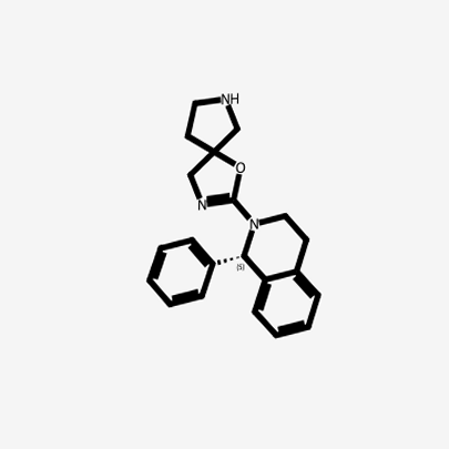 c1ccc([C@H]2c3ccccc3CCN2C2=NCC3(CCNC3)O2)cc1